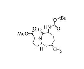 C=C1CC[C@H](NC(=O)OC(C)(C)C)C(=O)N2[C@H](CC[C@H]2C(=O)OC)C1